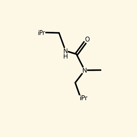 CC(C)CNC(=O)N(C)CC(C)C